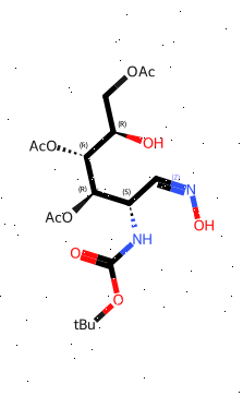 CC(=O)OC[C@@H](O)[C@@H](OC(C)=O)[C@H](OC(C)=O)[C@H](/C=N\O)NC(=O)OC(C)(C)C